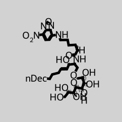 [2H]C(CCCCNc1ccc([N+](=O)[O-])c2nonc12)C(=O)NC(COC1O[C@H]([C@@H](O)[C@H](O)CO)[C@@H](O)[C@H](O)[C@H]1O)C(O)C=CCCCCCCCCCCCCC